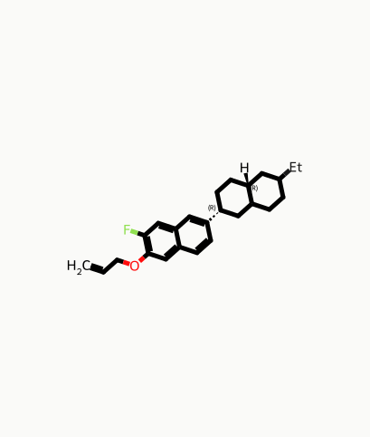 C=CCOc1cc2ccc([C@@H]3CC[C@@H]4CC(CC)CCC4C3)cc2cc1F